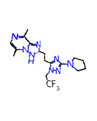 CC1=CN=C(C)C2=NC(CCc3nc(N4CCCC4)nn3CC(F)(F)F)NN12